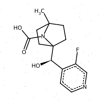 CC12CCC([C@H](O)c3ccncc3F)(CC1)N2C(=O)O